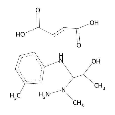 Cc1cccc(NC(C(C)O)N(C)N)c1.O=C(O)C=CC(=O)O